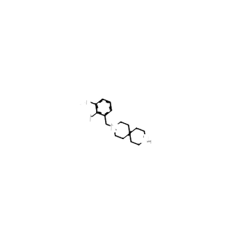 CN1CCC2(CC1)CCN(Cc1cccc(Br)c1Cl)CC2